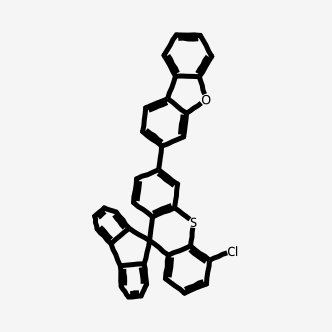 Clc1cccc2c1Sc1cc(-c3ccc4c(c3)oc3ccccc34)ccc1C21c2ccccc2-c2ccccc21